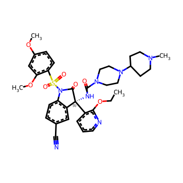 CCOc1ncccc1[C@]1(NC(=O)N2CCN(C3CCN(C)CC3)CC2)C(=O)N(S(=O)(=O)c2ccc(OC)cc2OC)c2ccc(C#N)cc21